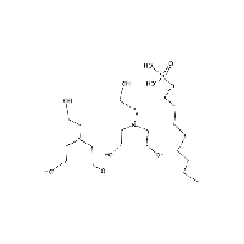 CCCCCCCCOP(=O)(O)O.OCCN(CCO)CCO.OCCN(CCO)CCO